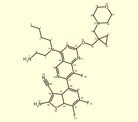 CCCCN(CCN)c1nc(OCC2(CN3CCOCC3)CC2)nc2c(F)c(C3=CC(F)=C(F)C4SC(N)=C(C#N)C34)ncc12